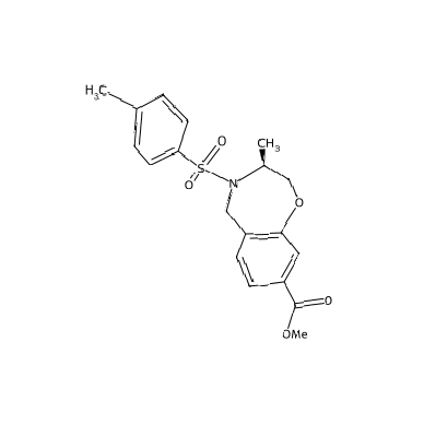 COC(=O)c1ccc2c(c1)OC[C@H](C)N(S(=O)(=O)c1ccc(C)cc1)C2